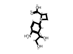 Nc1ccc(N2CCC2C(=O)O)cc1C(O)CO